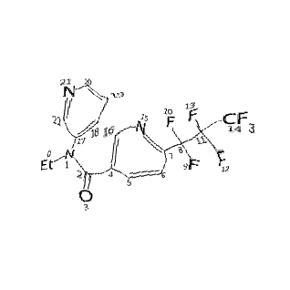 CCN(C(=O)c1ccc(C(F)(F)C(F)(F)C(F)(F)F)nc1)c1cccnc1